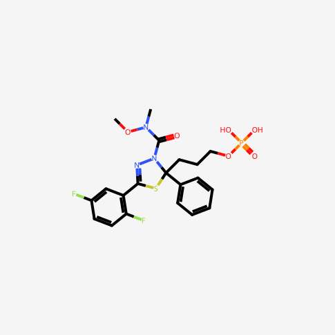 CON(C)C(=O)N1N=C(c2cc(F)ccc2F)SC1(CCCOP(=O)(O)O)c1ccccc1